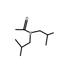 [CH2]C(=O)N(CC(C)C)CC(C)C